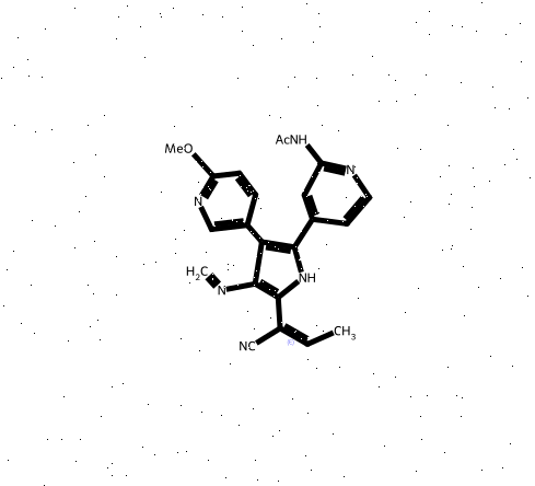 C=Nc1c(/C(C#N)=C\C)[nH]c(-c2ccnc(NC(C)=O)c2)c1-c1ccc(OC)nc1